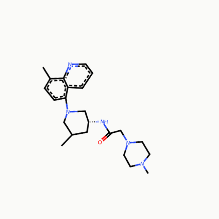 Cc1ccc(N2CC(C)C[C@@H](NC(=O)CN3CCN(C)CC3)C2)c2cccnc12